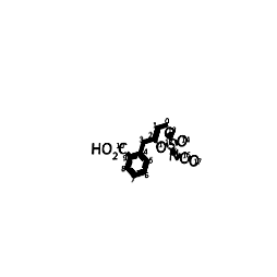 CC=C(Cc1ccccc1C(=O)O)OS(=O)(=O)N=C=O